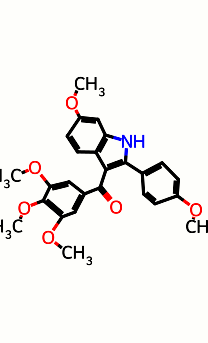 COc1ccc(-c2[nH]c3cc(OC)ccc3c2C(=O)c2cc(OC)c(OC)c(OC)c2)cc1